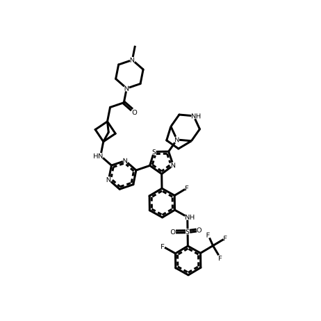 CN1CCN(C(=O)CC23CC(Nc4nccc(-c5sc(N6C7CCC6CNC7)nc5-c5cccc(NS(=O)(=O)c6c(F)cccc6C(F)(F)F)c5F)n4)(C2)C3)CC1